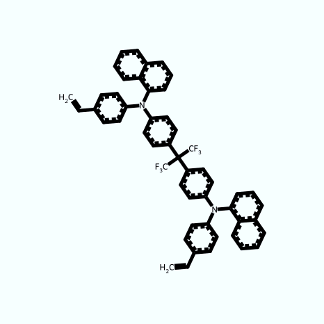 C=Cc1ccc(N(c2ccc(C(c3ccc(N(c4ccc(C=C)cc4)c4cccc5ccccc45)cc3)(C(F)(F)F)C(F)(F)F)cc2)c2cccc3ccccc23)cc1